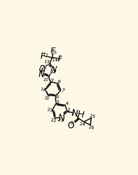 O=C(Nc1cc(-c2ccc(-c3noc(C(F)(F)F)n3)cc2)ccn1)C1CC1